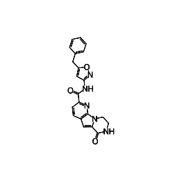 O=C(Nc1cc(Cc2ccccc2)on1)c1ccc2cc3n(c2n1)CCNC3=O